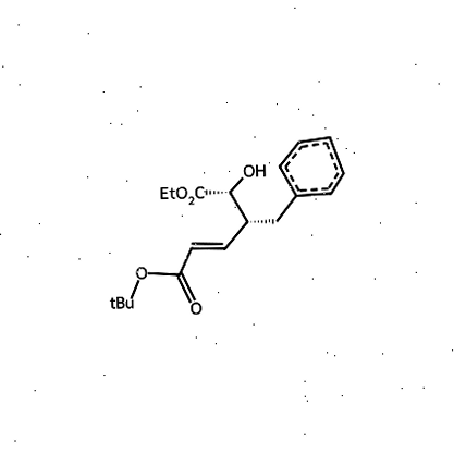 CCOC(=O)[C@H](O)[C@@H](/C=C/C(=O)OC(C)(C)C)Cc1ccccc1